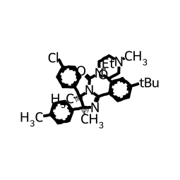 CCOc1cc(C(C)(C)C)ccc1C1=N[C@@](C)(c2ccc(C)cc2)[C@@](C)(c2ccc(Cl)cc2)N1C(=O)N1CCN(C)CC1